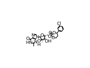 Cc1nc2c(ncn2[C@@H]2O[C@H](COP3(=O)OCCC(c4cccc(Cl)c4)O3)[C@@H](O)[C@@]2(C)O)c(=O)[nH]1